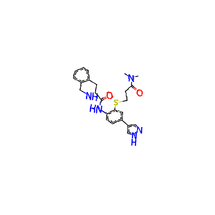 CN(C)C(=O)CCSc1cc(-c2cn[nH]c2)ccc1NC(=O)C1Cc2ccccc2CN1